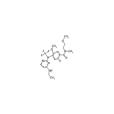 CCNc1ccnc(N(c2cc(F)c(C(=O)N(C)CCOC)cc2OC)C(F)(F)F)n1